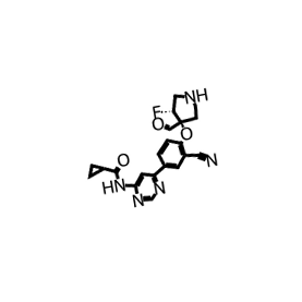 N#Cc1cc(-c2cc(NC(=O)C3CC3)ncn2)ccc1O[C@]1(C=O)CCNC[C@H]1F